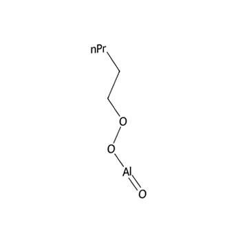 CCCCCO[O][Al]=[O]